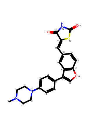 CN1CCN(c2ccc(-c3coc4ccc(/C=C5\SC(=O)NC5=O)cc34)cc2)CC1